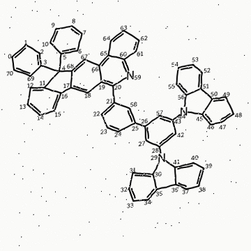 c1ccc(C2(c3ccccc3)c3ccccc3-c3cc4c(-c5cccc(-c6cc(-n7c8ccccc8c8ccccc87)cc(-n7c8ccccc8c8ccccc87)c6)c5)nc5ccccc5c4cc32)cc1